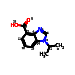 CC(C)n1cnc2c(C(=O)O)cccc21